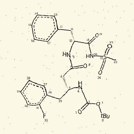 CC(C)(C)OC(=O)N[C@@H](CC(=O)N[C@H](Cc1ccccc1)C(=O)NS(C)(=O)=O)Cc1ccccc1F